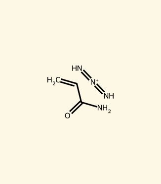 C=CC(N)=O.N=[N+]=N